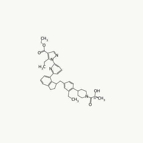 CCOC(=O)c1cnn(-c2cccc(-c3cccc4c3C(Cc3ccc(C5CCN(C(=O)[C@H](C)O)CC5)c(CC)c3)CC4)n2)c1CC